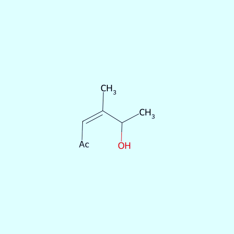 CC(=O)C=C(C)C(C)O